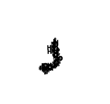 Cc1cc(NC(=O)Nc2ccc(C(=O)N3CCN(Cc4ccc(C(O)(C(F)(F)F)C(F)(F)F)cc4)CC3)cc2F)on1